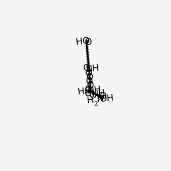 N[C@@H](CCCCNC(=O)CC[C@H](NC(=O)CCOCCOCCOCCOCCNC(=O)CCCCCCCCCCCCCCCCCCC(=O)O)C(=O)O)C(=O)O